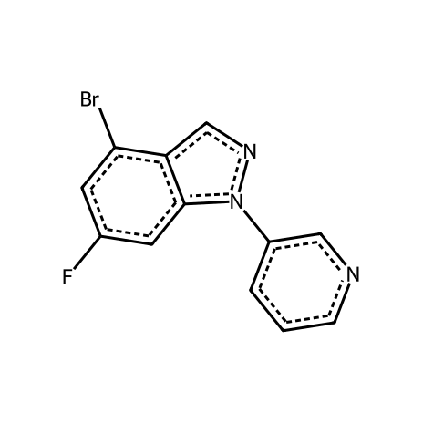 Fc1cc(Br)c2cnn(-c3cccnc3)c2c1